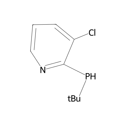 CC(C)(C)Pc1ncccc1Cl